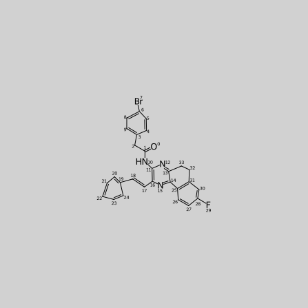 O=C(Cc1ccc(Br)cc1)Nc1nc2c(nc1/C=C/c1ccccc1)-c1ccc(F)cc1CC2